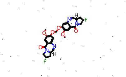 COc1cc2c(cc1OCOc1cc3c(cc1OC)C(=O)N1C[C@@H](F)C[C@H]1C=N3)N=C[C@@H]1C[C@H](F)CN1C2=O